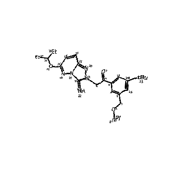 CCCOCc1cc(C(=O)Cn2nc3ccc(OC(CC)CC)nn3c2=N)cc(C(C)(C)C)c1